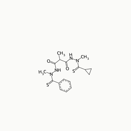 CC(C(=O)NN(C)C(=S)c1ccccc1)C(=O)NN(C)C(=S)C1CC1